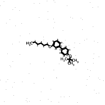 CCCCCCOc1cc[c]c(-c2ccc(OC(C)(C)C)cc2)c1